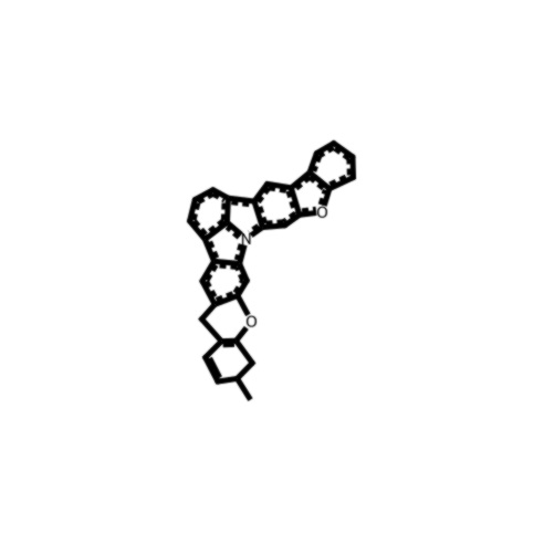 CC1C=CC2=C(C1)Oc1cc3c(cc1C2)c1cccc2c4cc5c(cc4n3c12)oc1ccccc15